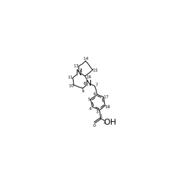 C=C(O)c1ccc(CN2CCCN3CCCC32)cc1